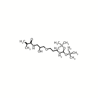 C=C(C)C(=O)NCC(O)COCCC[SiH2]C(O[Si](C)(C)C)O[Si](C)(C)C